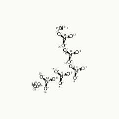 O.O=[N+]([O-])[O-].O=[N+]([O-])[O-].O=[N+]([O-])[O-].O=[N+]([O-])[O-].O=[N+]([O-])[O-].[Bi+3].[Cu+2]